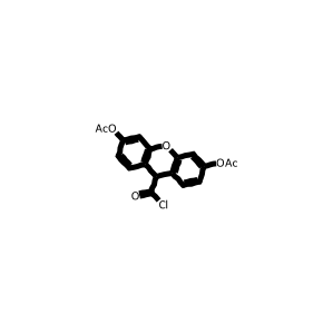 CC(=O)Oc1ccc2c(c1)Oc1cc(OC(C)=O)ccc1C2C(=O)Cl